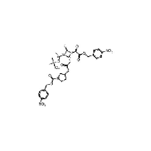 C[C@@H](O[Si](C)(C)C(C)(C)C)[C@H]1C(=O)N(C(=O)C(=O)OCc2ccc([N+](=O)[O-])cc2)[C@@H]1CC(=O)SC1CCN(C(=O)OCc2ccc([N+](=O)[O-])cc2)C1